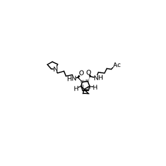 CC(=O)CCCCNC(=O)[C@H]1[C@H](C(=O)NCCCCN2CCCC2)[C@H]2C=C[C@@H]1C21CC1